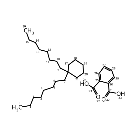 CCCCCCCCC1(CCCCCCCC)CCCCC1.O=C(O)c1ccccc1C(=O)O